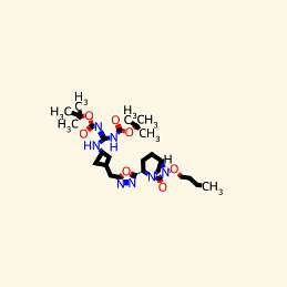 CCCCON1C(=O)N2C[C@@H]1CC[C@H]2c1nnc(CC2CC(N/C(=N\C(=O)OC(C)(C)C)NC(=O)OC(C)(C)C)C2)o1